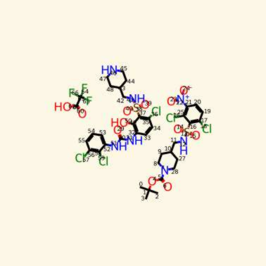 CC(C)(C)OC(=O)N1CCC(CNS(=O)(=O)c2c(Cl)ccc([N+](=O)[O-])c2Cl)CC1.O=C(Nc1ccc(Cl)c(S(=O)(=O)NCC2CCNCC2)c1O)Nc1cccc(Cl)c1Cl.O=C(O)C(F)(F)F